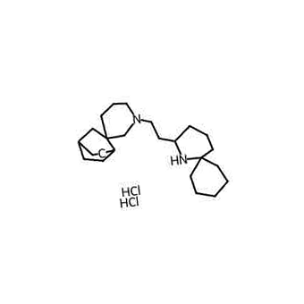 C1CCC2(CC1)CCCC(CCN1CCCC3(CC4CCC3CC4)C1)N2.Cl.Cl